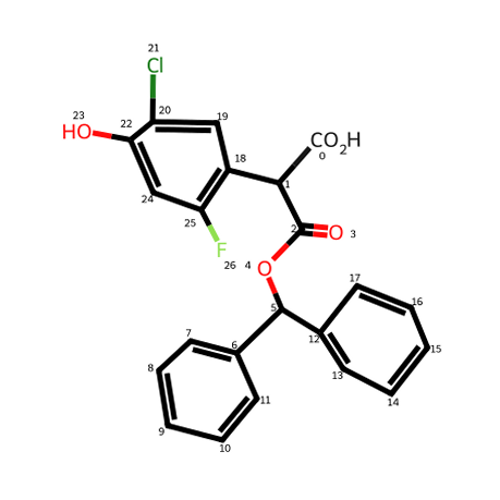 O=C(O)C(C(=O)OC(c1ccccc1)c1ccccc1)c1cc(Cl)c(O)cc1F